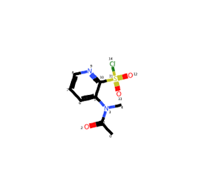 CC(=O)N(C)c1cccnc1S(=O)(=O)Cl